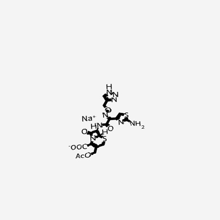 CC(=O)OCC1=C(C(=O)[O-])N2C(=O)[C@@H](NC(=O)C(=NOCc3c[nH]nn3)c3csc(N)n3)[C@@H]2SC1.[Na+]